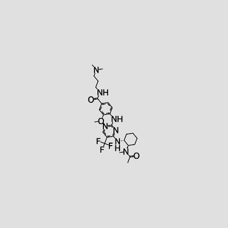 COc1cc(C(=O)NCCCN(C)C)ccc1Nc1ncc(C(F)(F)F)c(N[C@@H]2CCCC[C@H]2N(C)C(C)=O)n1